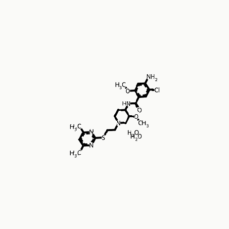 COc1cc(N)c(Cl)cc1C(=O)NC1CCN(CCSc2nc(C)cc(C)n2)CC1OC.O.O